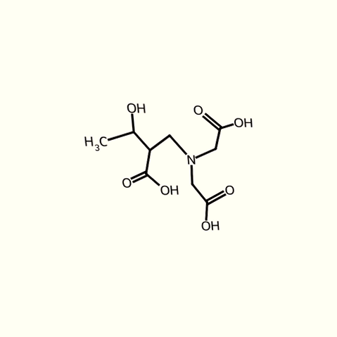 CC(O)C(CN(CC(=O)O)CC(=O)O)C(=O)O